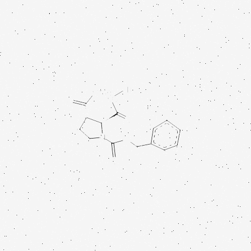 COC(=O)[C@H]1CCN(C(=O)OCc2ccccc2)[C@@H]1C(=O)OC(C)(C)C